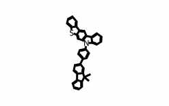 CC1(C)c2ccccc2-c2ccc(-c3ccc(-n4c5ccccc5c5cc6c(cc54)sc4ccccc46)cc3)cc21